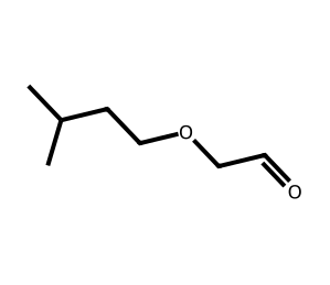 CC(C)CCOCC=O